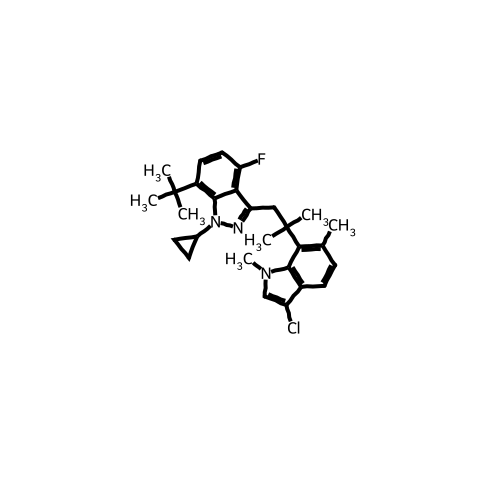 Cc1ccc2c(Cl)cn(C)c2c1C(C)(C)Cc1nn(C2CC2)c2c(C(C)(C)C)ccc(F)c12